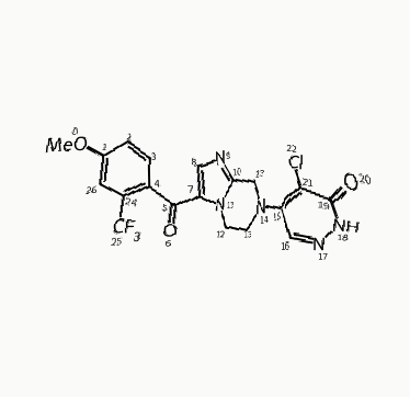 COc1ccc(C(=O)c2cnc3n2CCN(c2cn[nH]c(=O)c2Cl)C3)c(C(F)(F)F)c1